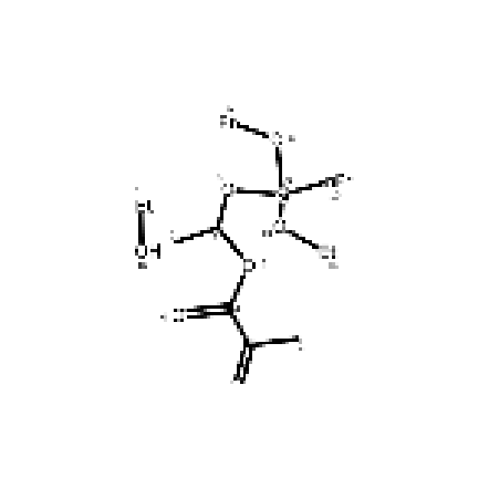 C=C(C)C(=O)OC(C)O[Si](CCC)(OCC)OCC.CCO